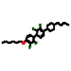 CCCCCCOc1ccc(-c2ccc(C3CCC(CCCC)CC3)c(F)c2F)c(F)c1F